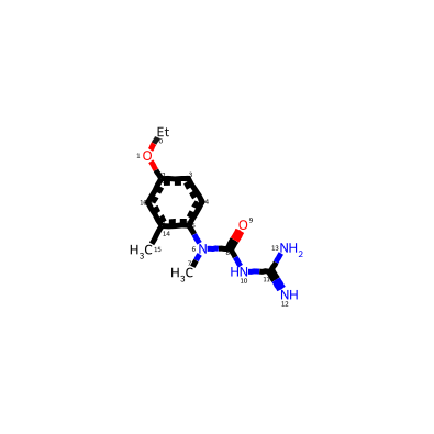 CCOc1ccc(N(C)C(=O)NC(=N)N)c(C)c1